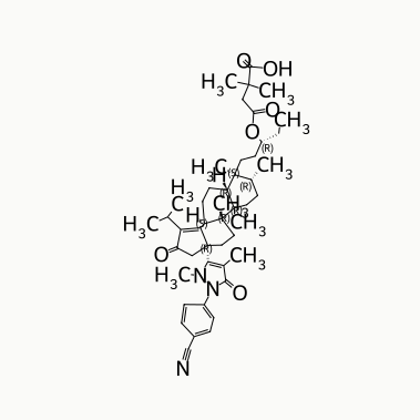 CC[C@H](CC[C@@]1(C)[C@H](C)CC[C@]2(C)[C@@H]1CC[C@@H]1C3=C(C(C)C)C(=O)C[C@]3(c3c(C)c(=O)n(-c4ccc(C#N)cc4)n3C)CC[C@]12C)OC(=O)CC(C)(C)C(=O)O